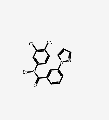 CCN(C(=O)c1cccc(-n2cccn2)c1)c1ccc(C#N)c(Cl)c1